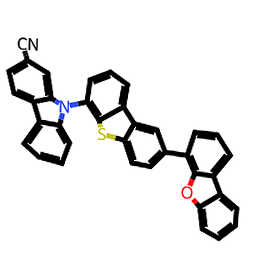 N#Cc1ccc2c3ccccc3n(-c3cccc4c3sc3ccc(-c5cccc6c5oc5ccccc56)cc34)c2c1